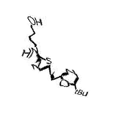 CC(C)(C)c1cnc(C=Cc2cnc(NCCCCO)s2)o1